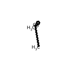 CCCCCCCCCCCCCCCCC(C)C(=O)OC1CCCCC1